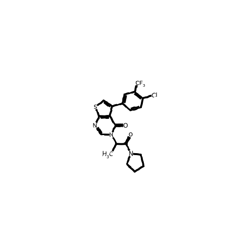 CC(C(=O)N1CCCC1)n1cnc2scc(-c3ccc(Cl)c(C(F)(F)F)c3)c2c1=O